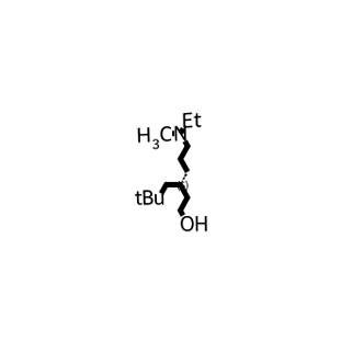 CCN(C)CCC[C@H](CCO)CC(C)(C)C